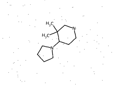 CC1(C)C[N]CCC1N1CCCC1